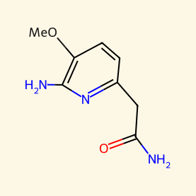 COc1ccc(CC(N)=O)nc1N